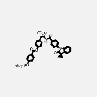 CCCCCCCOc1ccc(C(=O)Oc2ccc(C[C@H](NC(=O)c3ccc(NC(=O)C4(c5ccccc5)CC4)cc3)C(=O)O)cc2)cc1